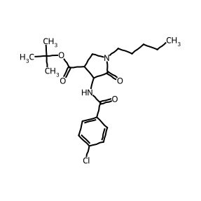 CCCCCN1CC(C(=O)OC(C)(C)C)C(NC(=O)c2ccc(Cl)cc2)C1=O